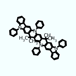 CC1(C)c2cc3c(cc2N(c2ccccc2)c2cc4c5ccccc5n(-c5ccccc5)c4cc21)C(C)(C)c1cc2c(cc1N3c1ccccc1)c1ccccc1n2-c1ccccc1